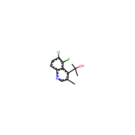 Cc1cnc2ccc(Cl)c(F)c2c1C(C)(C)O